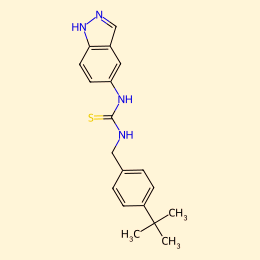 CC(C)(C)c1ccc(CNC(=S)Nc2ccc3[nH]ncc3c2)cc1